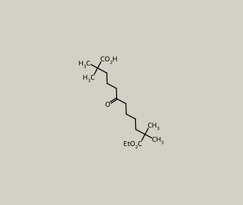 CCOC(=O)C(C)(C)CCCCC(=O)CCCC(C)(C)C(=O)O